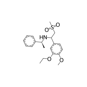 CCOc1cc(C(CS(C)(=O)=O)N[C@@H](C)c2ccccc2)ccc1OC